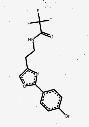 O=C(NCCc1coc(-c2ccc(Br)cc2)n1)C(F)(F)F